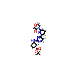 CC(C)(C)OC(=O)[C@H]1CCC[C@@H](Nc2ncc(F)c(-c3cccc(N4CCOCC4=O)n3)n2)C1